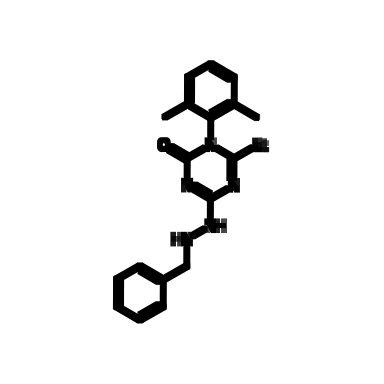 CCc1nc(NNCc2ccccc2)nc(=O)n1-c1c(C)cccc1C